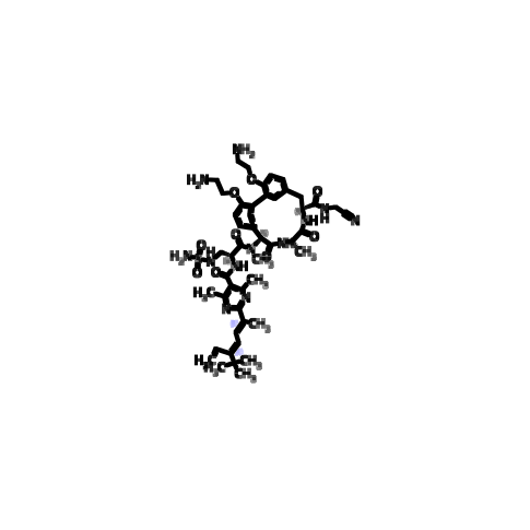 C=C/C(=C\C=C(/C)c1nc(C)c(C(=O)N[C@@H](CNS(N)(=O)=O)C(=O)N(C)[C@@H]2C(=O)N[C@@H](C)C(=O)N[C@H](C(=O)NCC#N)Cc3ccc(OCCN)c(c3)-c3cc2ccc3OCCN)c(C)n1)C(C)(C)C